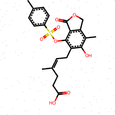 CC(=CCc1c(O)c(C)c2c(c1OS(=O)(=O)c1ccc(C)cc1)C(=O)OC2)CCC(=O)O